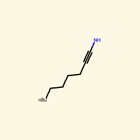 CCCCCCCCC#C[NH]